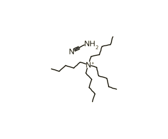 CCCCC[N+](CCCCC)(CCCCC)CCCCC.N#CN